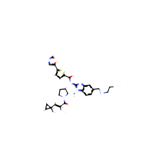 COC[C@H](C)NCc1ccc2c(c1)[nH]c(=NC(=O)c1ccc(-c3cnco3)s1)n2C[C@H]1CCCN1C(=O)C(C#N)=CC1(C)CC1